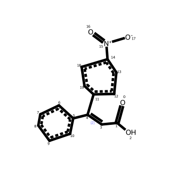 O=C(O)/C=C(/c1ccccc1)c1ccc([N+](=O)[O-])cc1